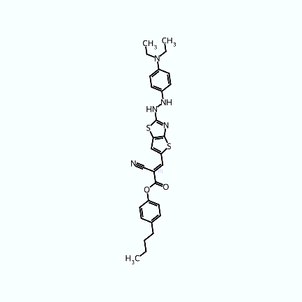 CCCCc1ccc(OC(=O)/C(C#N)=C/c2cc3sc(NNc4ccc(N(CC)CC)cc4)nc3s2)cc1